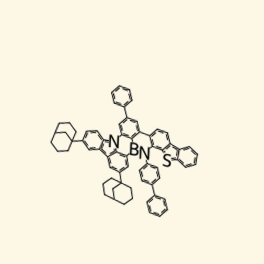 c1ccc(-c2ccc(N3B4c5c(cc(-c6ccccc6)cc5-n5c6ccc(C78CCCC(CCC7)C8)cc6c6cc(C78CCCC(CCC7)C8)cc4c65)-c4ccc5c(sc6ccccc65)c43)cc2)cc1